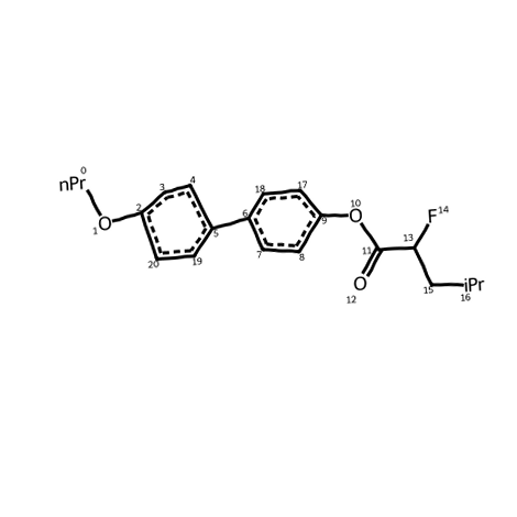 CCCOc1ccc(-c2ccc(OC(=O)C(F)CC(C)C)cc2)cc1